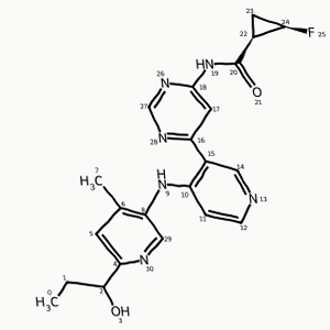 CCC(O)c1cc(C)c(Nc2ccncc2-c2cc(NC(=O)[C@H]3C[C@H]3F)ncn2)cn1